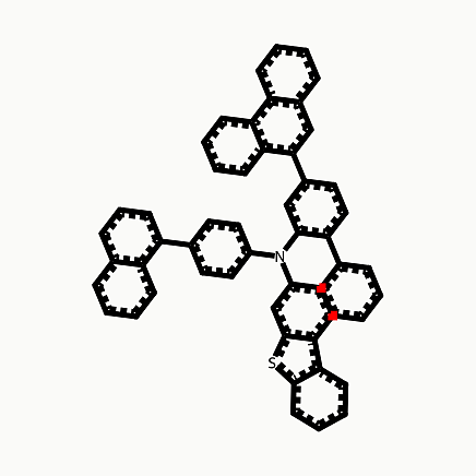 c1ccc(-c2ccc(-c3cc4ccccc4c4ccccc34)cc2N(c2ccc(-c3cccc4ccccc34)cc2)c2ccc3c(c2)sc2ccccc23)cc1